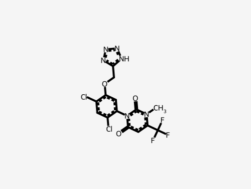 Cn1c(C(F)(F)F)cc(=O)n(-c2cc(OCc3nnn[nH]3)c(Cl)cc2Cl)c1=O